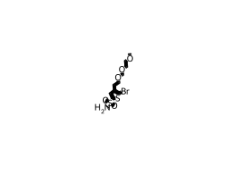 COCCOCOCCc1cc(S(N)(=O)=O)sc1Br